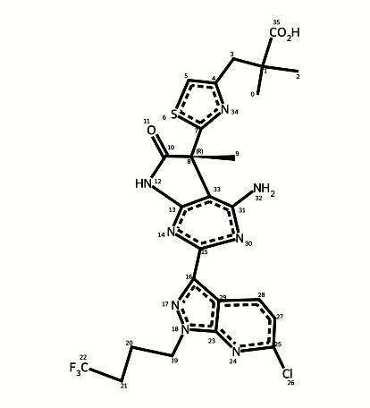 CC(C)(Cc1csc([C@@]2(C)C(=O)Nc3nc(-c4nn(CCCC(F)(F)F)c5nc(Cl)ccc45)nc(N)c32)n1)C(=O)O